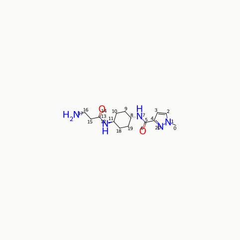 Cn1ccc(C(=O)N[C@H]2CC[C@H](NC(=O)CCN)CC2)n1